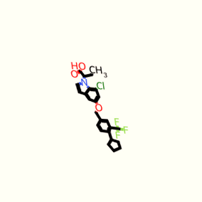 CCC(C(=O)O)n1ccc2cc(OCc3ccc(C4CCCC4)c(C(F)(F)F)c3)cc(Cl)c21